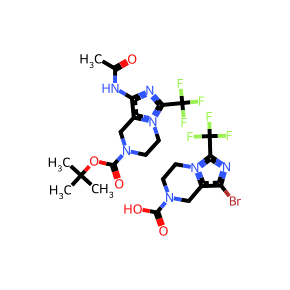 CC(=O)Nc1nc(C(F)(F)F)n2c1CN(C(=O)OC(C)(C)C)CC2.O=C(O)N1CCn2c(C(F)(F)F)nc(Br)c2C1